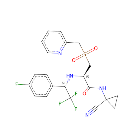 N#CC1(NC(=O)[C@H](CS(=O)(=O)Cc2ccccn2)N[C@@H](c2ccc(F)cc2)C(F)(F)F)CC1